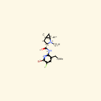 CSCc1cc(F)c(Br)nc1NC(=O)[C@@H]1C[C@@]2(C)C[C@H]2N1C(=O)O